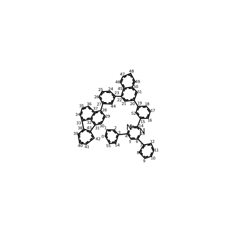 c1ccc(-c2cc(-c3ccccc3)nc(-c3cccc(-c4cc(-c5cccc(-c6ccc7c8c(cccc68)-c6ccccc6-7)c5)c5ccccc5c4)c3)n2)cc1